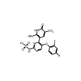 CCCCc1[nH]c(=O)c(C)cc1-c1nc(NS(=O)(=O)CC)ncc1Oc1ccc(F)cc1F